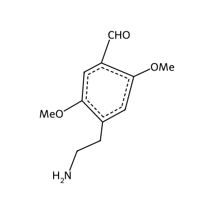 COc1cc(CCN)c(OC)cc1C=O